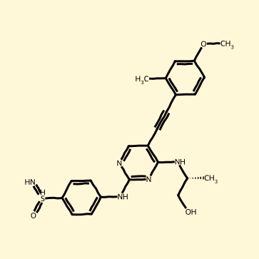 COc1ccc(C#Cc2cnc(Nc3ccc([SH](=N)=O)cc3)nc2N[C@H](C)CO)c(C)c1